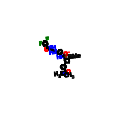 COc1ccc(-c2cccc(C(=O)N(C)C)c2)cc1[S+]([O-])Nc1cccc(NCCNC(=O)c2cc(F)cc(F)c2)c1